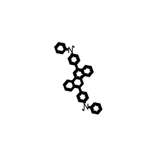 CN(C1=C=C=CC=C1)c1ccc(-c2cc3c(c4ccccc24)CC(c2ccc(N(C)c4ccccc4)cc2)=C2C=CC=CC23)cc1